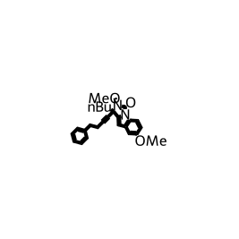 CCCCC1(C#CCCc2ccccc2)c2cc3cc(OC)ccc3n2C(=O)N1OC